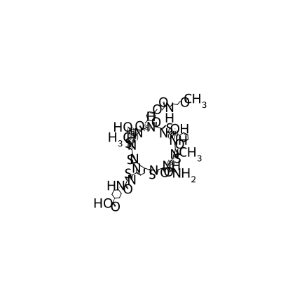 COCCCNC(=O)COc1ccc(C[C@@H]2NC(=O)c3csc(n3)[C@H]([C@H](O)c3ccccc3)NC(=O)c3nc(sc3C)[C@H](CC(N)=O)NC(=O)c3csc(n3)-c3ccc(-c4nc(C(=O)N[C@H]5CC[C@H](C(=O)O)CC5)cs4)nc3-c3csc(n3)-c3csc(n3)[C@@H]3[C@@H](C)[C@@H](O)CN3C2=O)cc1